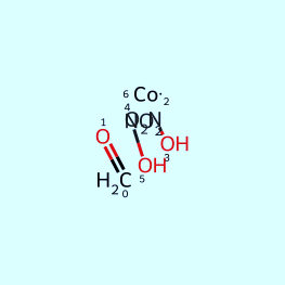 C=O.O=[N+]([O-])O.O=[N+]([O-])O.[Co]